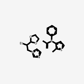 C=C(C)B(c1ccccc1)c1ccsc1C.CCC(Cn1ccnc1)C1OCCO1